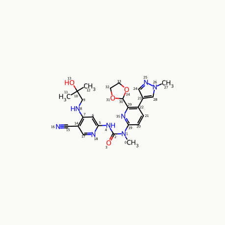 CN(C(=O)Nc1cc(NCC(C)(C)O)c(C#N)cn1)c1ccc(-c2cnn(C)c2)c(C2OCCO2)n1